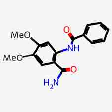 COc1cc(NC(=O)c2ccccc2)c(C(N)=O)cc1OC